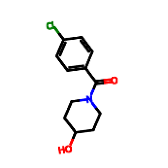 O=C(c1ccc(Cl)cc1)N1CCC(O)CC1